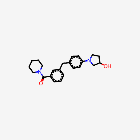 O=C(c1cccc(Cc2ccc(N3CCC(O)C3)cc2)c1)N1CCCCC1